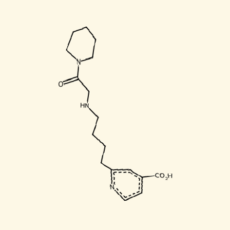 O=C(O)c1ccnc(CCCCNCC(=O)N2CCCCC2)c1